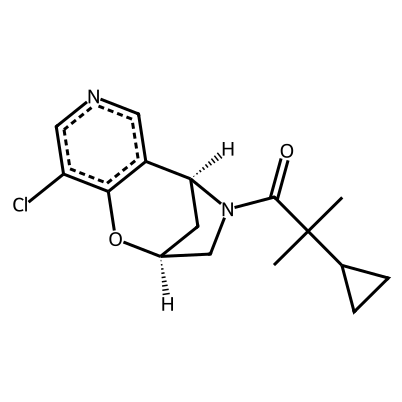 CC(C)(C(=O)N1C[C@@H]2C[C@H]1c1cncc(Cl)c1O2)C1CC1